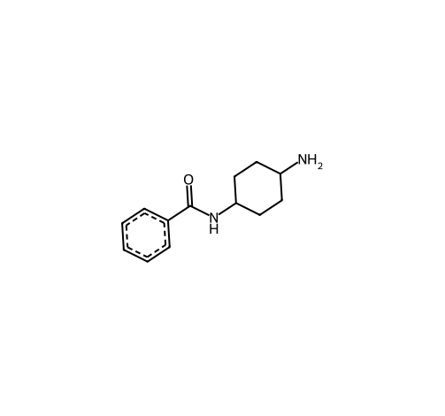 NC1CCC(NC(=O)c2ccccc2)CC1